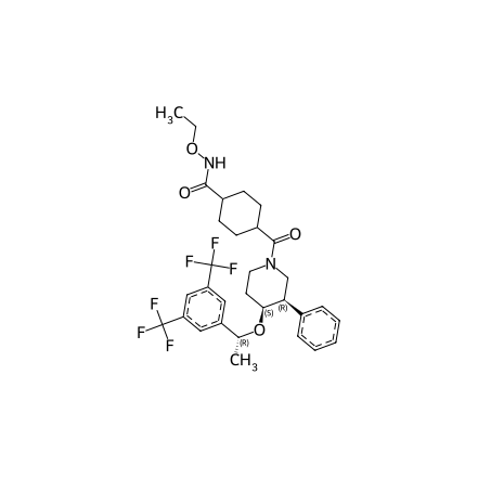 CCONC(=O)C1CCC(C(=O)N2CC[C@H](O[C@H](C)c3cc(C(F)(F)F)cc(C(F)(F)F)c3)[C@H](c3ccccc3)C2)CC1